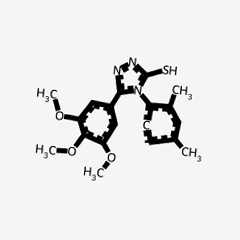 COc1cc(-c2nnc(S)n2-c2ccc(C)cc2C)cc(OC)c1OC